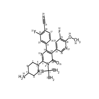 BC(B)(B)n1c(N2CCC(N)CC2)nc(-c2ccc(C#N)c(F)c2)c(-c2cnc(OC)c(F)c2)c1=O